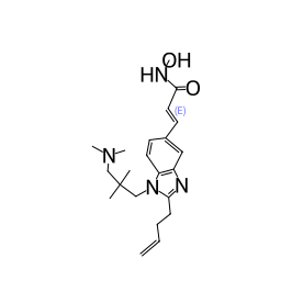 C=CCCc1nc2cc(/C=C/C(=O)NO)ccc2n1CC(C)(C)CN(C)C